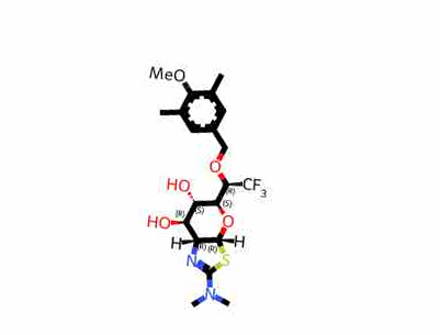 COc1c(C)cc(CO[C@H]([C@H]2O[C@@H]3SC(N(C)C)=N[C@@H]3[C@@H](O)[C@@H]2O)C(F)(F)F)cc1C